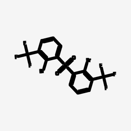 O=S(=O)(c1cccc(C(F)(F)F)c1Br)c1cccc(C(F)(F)F)c1Br